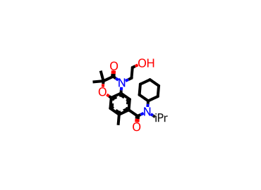 Cc1cc2c(cc1C(=O)N(C(C)C)C1CCCCC1)N(CCO)C(=O)C(C)(C)O2